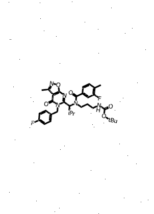 Cc1ccc(C(=O)N(CCCNC(=O)OC(C)(C)C)C(c2nc3onc(C)c3c(=O)n2Cc2ccc(F)cc2)C(C)C)cc1F